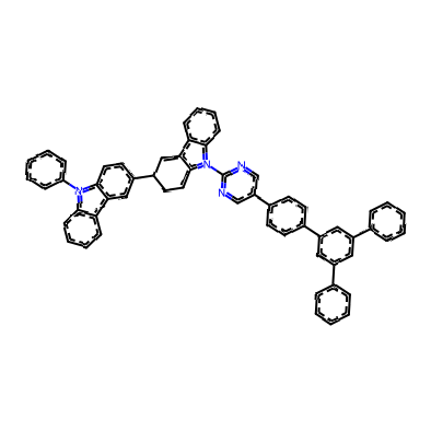 C1=c2c(n(-c3ncc(-c4ccc(-c5cc(-c6ccccc6)cc(-c6ccccc6)c5)cc4)cn3)c3ccccc23)=CCC1c1ccc2c(c1)c1ccccc1n2-c1ccccc1